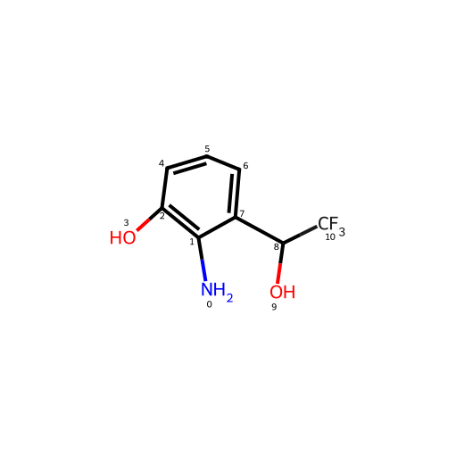 Nc1c(O)cccc1C(O)C(F)(F)F